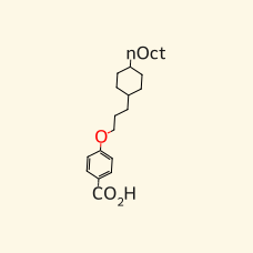 CCCCCCCCC1CCC(CCCOc2ccc(C(=O)O)cc2)CC1